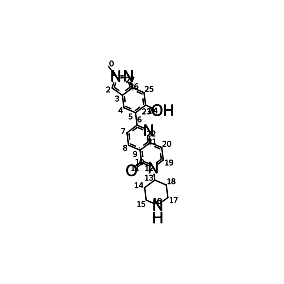 Cn1cc2cc(-c3ccc4c(=O)n(C5CCNCC5)ccc4n3)c(O)cc2n1